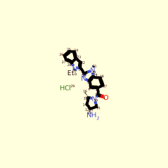 CCn1c(-c2nc3cc(C(=O)N4C[C@H](N)C[C@@H]4C)ccc3n2C)cc2ccccc21.Cl